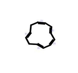 [C]1=C/C=C/C=C\C=C\C/C=C/C\1